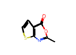 Cc1nc2sccc2c(=O)o1